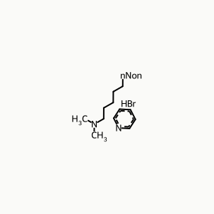 Br.CCCCCCCCCCCCCCN(C)C.c1ccncc1